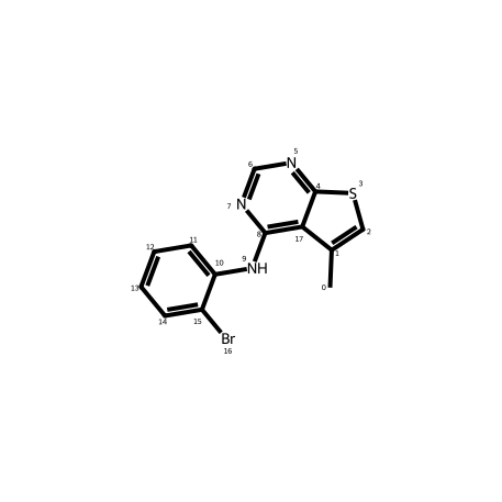 Cc1csc2ncnc(Nc3ccccc3Br)c12